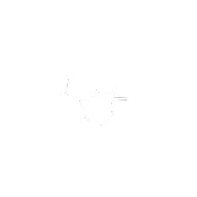 CCCCNC1=NS(=O)(=O)CCN1